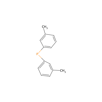 Cc1cccc([P]c2cccc(C)c2)c1